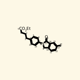 CCOC(=O)CCCc1ccc(N2Cc3ccc(F)cc3C2=O)cc1